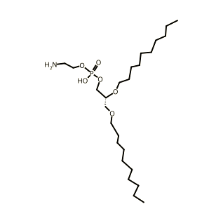 CCCCCCCCCCOC[C@H](COP(=O)(O)OCCN)OCCCCCCCCCC